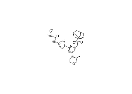 C[C@H]1COCCN1c1cc(CS(=O)(=O)C23CC4CC(CC(C4)C2)C3)nc(-c2ccc(NC(=O)NC3CC3)cc2)n1